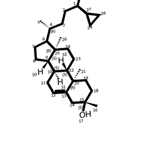 CC(CC[C@@H](C)C1CC[C@H]2[C@@H]3CC=C4C[C@@](C)(O)CC[C@]4(C)[C@H]3CC[C@]12C)C1CC1